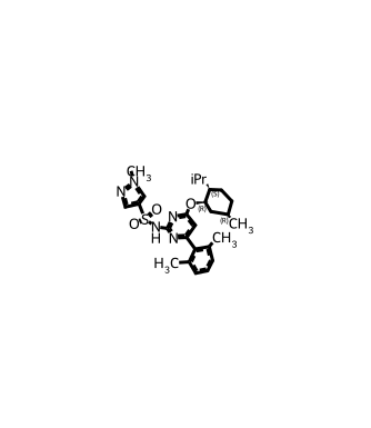 Cc1cccc(C)c1-c1cc(O[C@@H]2C[C@H](C)CC[C@H]2C(C)C)nc(NS(=O)(=O)c2cnn(C)c2)n1